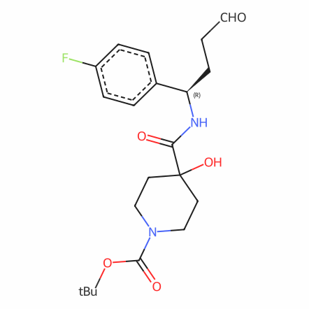 CC(C)(C)OC(=O)N1CCC(O)(C(=O)N[C@H](CCC=O)c2ccc(F)cc2)CC1